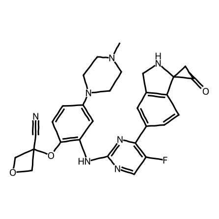 CN1CCN(c2ccc(OC3(C#N)COC3)c(Nc3ncc(F)c(-c4ccc5c(c4)CNC54CC4=O)n3)c2)CC1